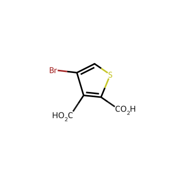 O=C(O)c1scc(Br)c1C(=O)O